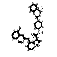 C=N/C(=C\c1ccccc1C)Cc1cccn2ncc(C(=O)N[C@H]3CC[C@H](C(=O)O[C@@H](C)c4ccccc4)CC3)c12